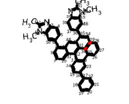 Cc1nc2ccc(-c3cccc4c(-c5ccc(-c6ccccc6)cc5-c5ccccc5)c5cccc(-c6ccc7nc(C)n(C)c7c6)c5cc34)cc2n1C